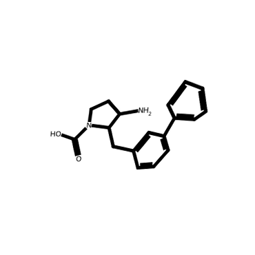 NC1CCN(C(=O)O)C1Cc1cccc(-c2ccccc2)c1